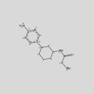 CC(C)(C)OC(=O)NC1CCCN(c2cnc(N)nc2)C1